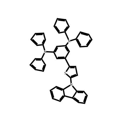 c1ccc(N(c2ccccc2)c2cc(-c3ccc(-n4c5ccccc5c5ccccc54)s3)cc(N(c3ccccc3)c3ccccc3)c2)cc1